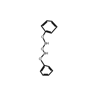 B(OBOc1ccccc1)Oc1ccccc1